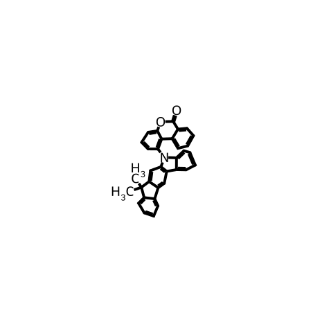 CC1(C)c2ccccc2-c2cc3c4ccccc4n(-c4cccc5oc(=O)c6ccccc6c45)c3cc21